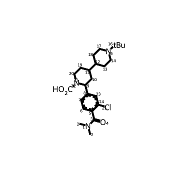 CN(C)C(=O)c1ccc(C2CC(C3CCN(C(C)(C)C)CC3)CCN2C(=O)O)cc1Cl